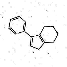 [CH]1C=C(c2ccccc2)C2=C1CCCC2